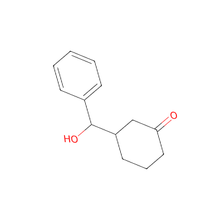 O=C1CCCC(C(O)c2ccccc2)C1